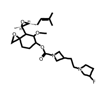 COC1C(OC(=O)N2CC(CCN3CCC(F)C3)C2)CCC2(CO2)C1[C@@]1(C)O[C@@H]1CC=C(C)C